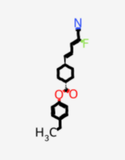 CCc1ccc(OC(=O)[C@H]2CC[C@H](C=CC=C(F)C#N)CC2)cc1